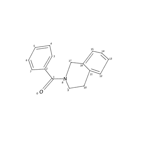 O=C(c1ccccc1)N1[CH]Cc2ccccc2C1